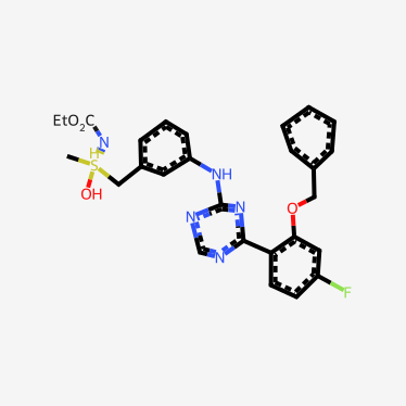 CCOC(=O)N=[SH](C)(O)Cc1cccc(Nc2ncnc(-c3ccc(F)cc3OCc3ccccc3)n2)c1